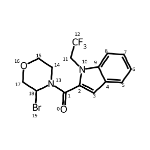 O=C(c1cc2ccccc2n1CC(F)(F)F)N1CCOCC1Br